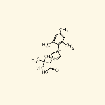 Cc1cc(C)c(-[n+]2ccn([C@H](C(=O)O)C(C)(C)C)c2)c(C)c1